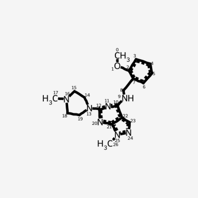 COc1ccccc1CNc1nc(N2CCN(C)CC2)nc2c1cnn2C